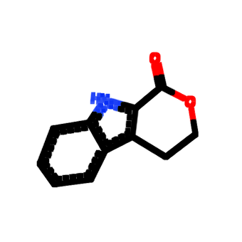 O=C1OCCc2c1[nH]c1ccccc21